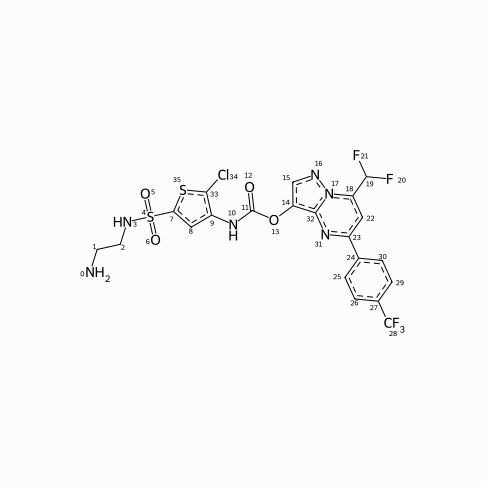 NCCNS(=O)(=O)c1cc(NC(=O)Oc2cnn3c(C(F)F)cc(-c4ccc(C(F)(F)F)cc4)nc23)c(Cl)s1